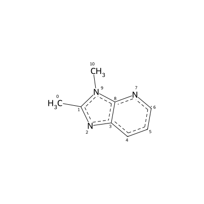 Cc1nc2cc[c]nc2n1C